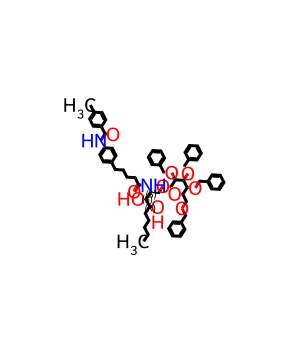 CCCCC[C@@H](O)[C@@H](O)[C@H](COC1OC(COCc2ccccc2)C(OCc2ccccc2)C(OCc2ccccc2)C1OCc1ccccc1)NC(=O)CCCCc1ccc(NC(=O)c2ccc(C)cc2)cc1